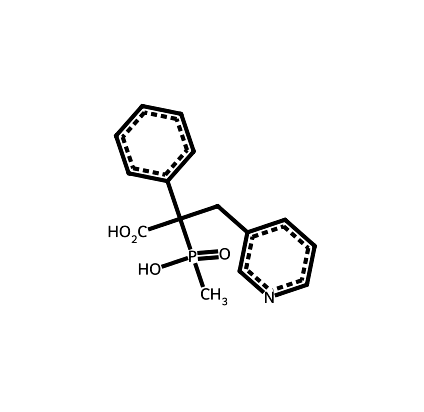 CP(=O)(O)C(Cc1cccnc1)(C(=O)O)c1ccccc1